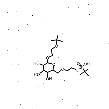 CC(C)(C)OCCOC1OC(COCCOP(=O)(O)C(C)(C)C)C(O)C(O)C1O